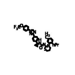 CCCc1ccc(C)cc1N1CCCS/C1=N\C(=O)NC1(c2ccc(-c3ncn(-c4ccc(OC(F)(F)F)cc4)n3)cc2)CC1